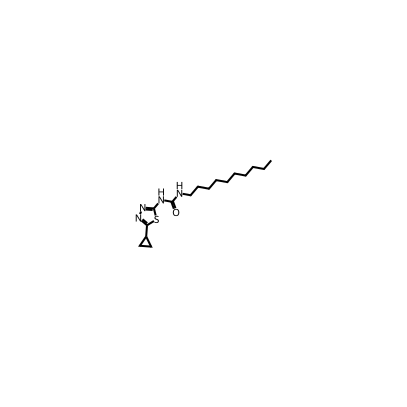 CCCCCCCCCCNC(=O)Nc1nnc(C2CC2)s1